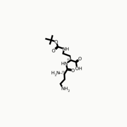 CC(C)(C)OC(=O)NCC[C@H](NC(=O)[C@@H](N)CCN)C(=O)O